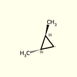 C[C@H]1[CH][C@@H]1C